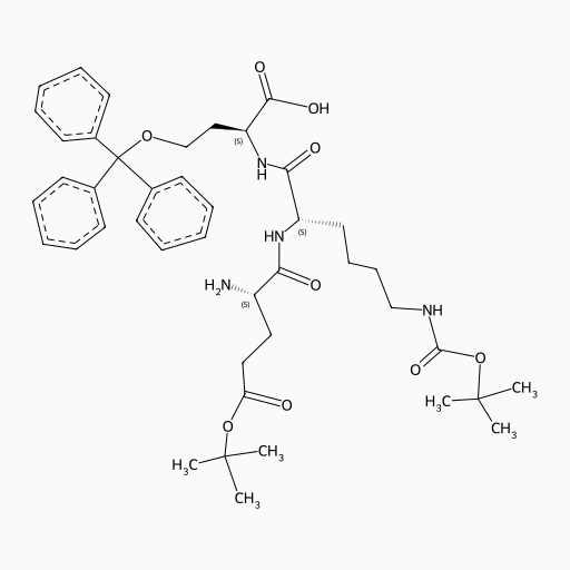 CC(C)(C)OC(=O)CC[C@H](N)C(=O)N[C@@H](CCCCNC(=O)OC(C)(C)C)C(=O)N[C@@H](CCOC(c1ccccc1)(c1ccccc1)c1ccccc1)C(=O)O